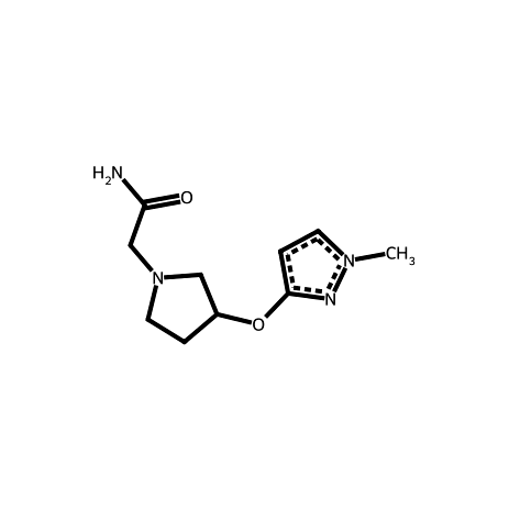 Cn1ccc(OC2CCN(CC(N)=O)C2)n1